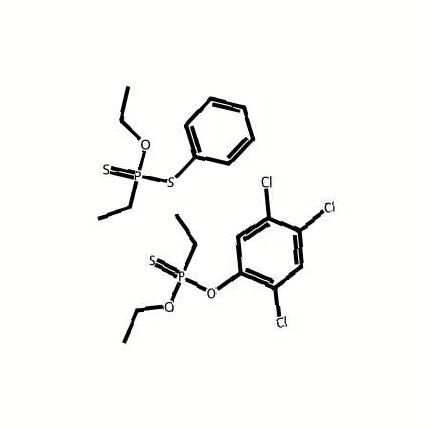 CCOP(=S)(CC)Oc1cc(Cl)c(Cl)cc1Cl.CCOP(=S)(CC)Sc1ccccc1